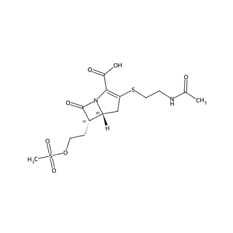 CC(=O)NCCSC1=C(C(=O)O)N2C(=O)[C@@H](CCOS(C)(=O)=O)[C@H]2C1